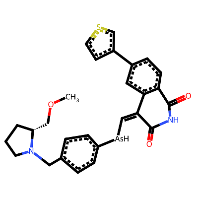 COC[C@H]1CCCN1Cc1ccc([AsH]C=C2C(=O)NC(=O)c3ccc(-c4ccsc4)cc32)cc1